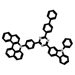 c1ccc(-c2ccc(-c3nc(-c4ccc(N5c6ccc7ccccc7c6-c6cccc7cccc5c67)cc4)nc(-c4ccc5c6ccccc6n(-c6ccccc6)c5c4)n3)cc2)cc1